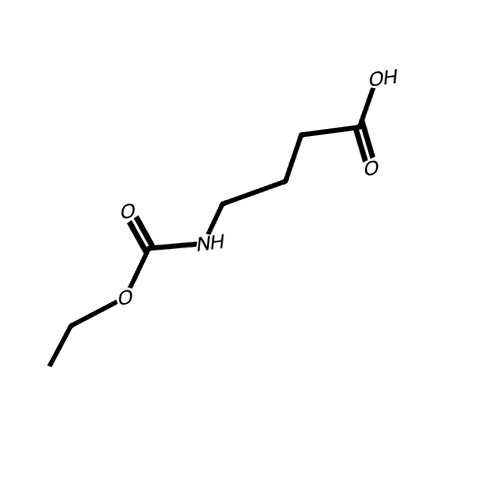 CCOC(=O)NCCCC(=O)O